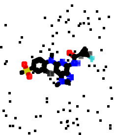 CCc1cc(S(C)(=O)=O)ccc1N(C)c1cc2c(ncn2C)c(NC(=O)[C@H]2C[C@H]2F)n1